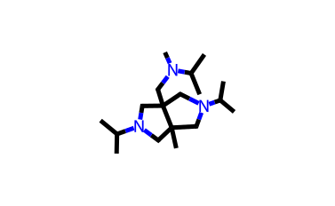 CC(C)N(C)CC12CN(C(C)C)CC1(C)CN(C(C)C)C2